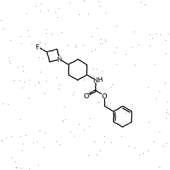 O=C(NC1CCC(N2CC(F)C2)CC1)OCC1=CCCC=C1